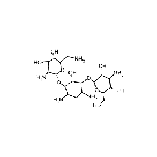 NCC1O[C@H](OC2C(N)CC(N)C(OC3O[C@H](CO)C(O)C(N)[C@H]3O)[C@H]2O)C(N)C(O)[C@@H]1O